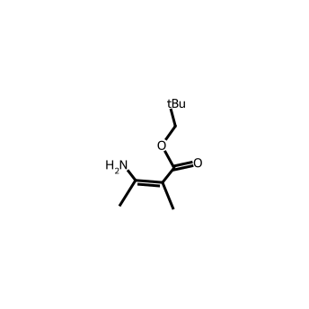 CC(N)=C(C)C(=O)OCC(C)(C)C